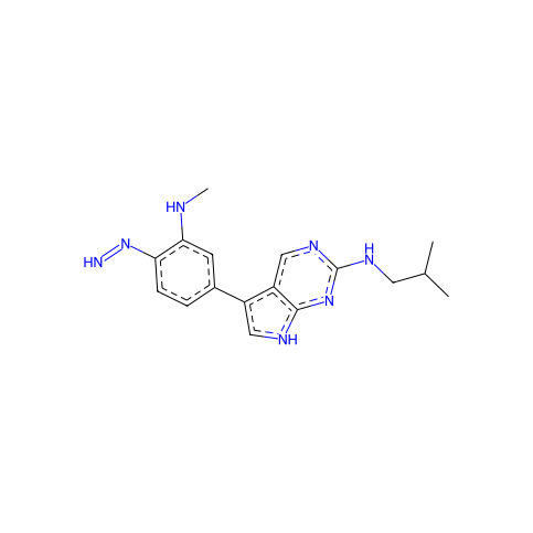 CNc1cc(-c2c[nH]c3nc(NCC(C)C)ncc23)ccc1N=N